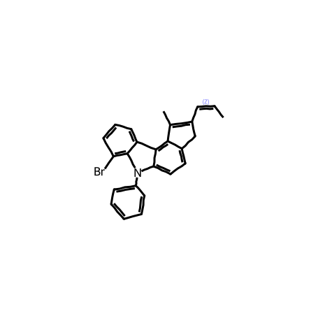 C/C=C\C1=C(C)c2c(ccc3c2c2cccc(Br)c2n3-c2ccccc2)C1